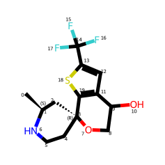 C[C@H]1C[C@@]2(CCN1)OCC(O)c1cc(C(F)(F)F)sc12